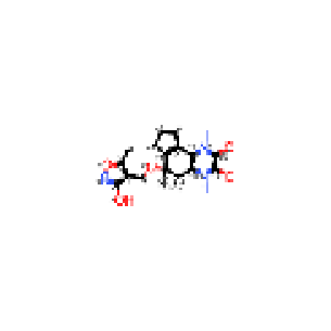 Cc1onc(O)c1COC1([N+](=O)[O-])Cc2[nH]c(=O)c(=O)[nH]c2C2=C1CCC2